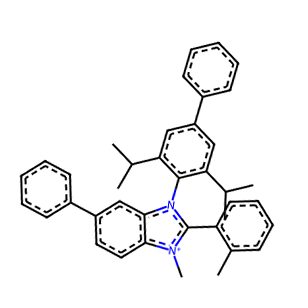 Cc1ccccc1-c1n(-c2c(C(C)C)cc(-c3ccccc3)cc2C(C)C)c2cc(-c3ccccc3)ccc2[n+]1C